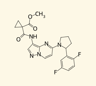 COC(=O)C1(C(=O)Nc2cnn3ccc(N4CCCC4c4cc(F)ccc4F)nc23)CC1